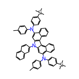 Cc1ccc(N(c2ccc([Si](C)(C)C)cc2)c2cc3c(c4ccccc24)c2c4ccccc4c(N(c4ccc(C)cc4)c4ccc([Si](C)(C)C)cc4)cc2n3-c2ccc3ccccc3c2)cc1